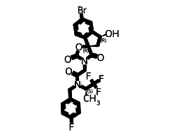 C[C@H](N(Cc1ccc(F)cc1)C(=O)CN1C(=O)O[C@@]2(C[C@@H](O)c3cc(Br)ccc32)C1=O)C(F)(F)F